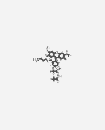 CCN=c1cc2oc3cc(NCC)c(C)cc3c(-c3ccccc3C(=O)OCCCN)c-2cc1C.O=C(O)C(F)(F)F.O=C(O)C(F)(F)F